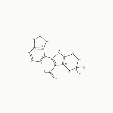 C=C(C)c1c(-c2cccc3c2CCC3)sc2c1CC(C)(C)CC2